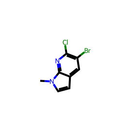 Cn1ccc2cc(Br)c(Cl)nc21